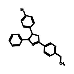 CCc1ccc(C2=NN(c3ccccc3)C(c3ccc(Br)cc3)C2)cc1